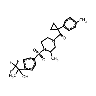 Cc1ccc(C2(C(=O)N3CCN(S(=O)(=O)c4ccc(C(C)(O)C(F)(F)F)cc4)C(C)C3)CC2)cc1